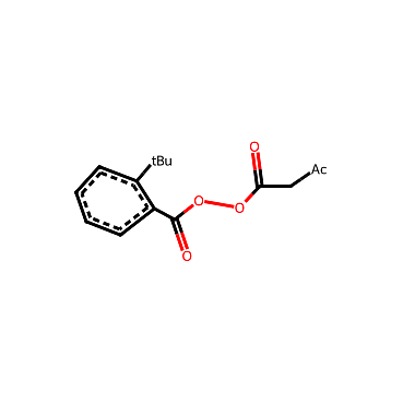 CC(=O)CC(=O)OOC(=O)c1ccccc1C(C)(C)C